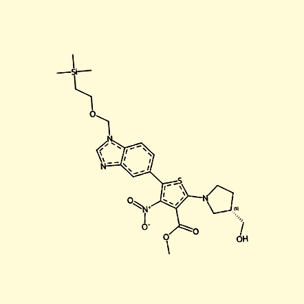 COC(=O)c1c(N2CC[C@H](CO)C2)sc(-c2ccc3c(c2)ncn3COCC[Si](C)(C)C)c1[N+](=O)[O-]